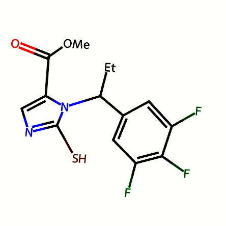 CCC(c1cc(F)c(F)c(F)c1)n1c(C(=O)OC)cnc1S